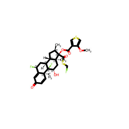 COc1cscc1C(=O)O[C@]1(C(=O)SCF)[C@H](C)C[C@H]2[C@@H]3C[C@H](F)C4=CC(=O)C=C[C@]4(C)[C@@]3(F)[C@@H](O)C[C@@]21C